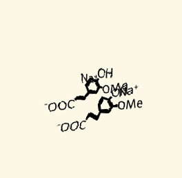 COc1cc(/C=C/C(=O)[O-])ccc1O.COc1cc(/C=C/C(=O)[O-])ccc1O.[Na+].[Na+]